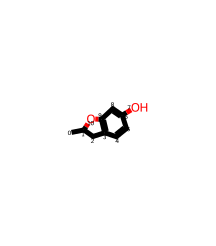 CC1[CH]c2ccc(O)cc2O1